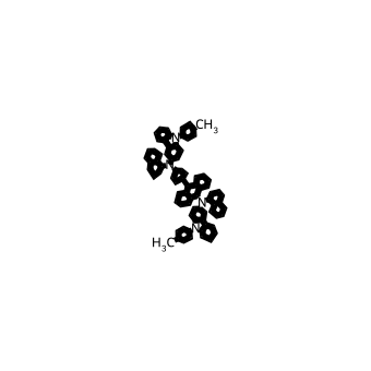 Cc1ccc(-n2c3ccccc3c3cc(N(c4ccc(-c5c6ccccc6c(N(c6ccc7c(c6)c6ccccc6n7-c6ccc(C)cc6)c6cccc7ccccc67)c6ccccc56)cc4)c4cccc5ccccc45)ccc32)cc1